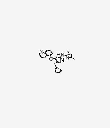 CC1CSC(Nc2cc(Oc3cccc4ncccc34)c(Cc3ccccc3)cn2)=N1